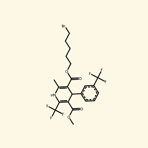 COC(=O)C1=C(C(F)(F)F)NC(C)=C(C(=O)OCCCCCBr)C1c1cccc(C(F)(F)F)c1